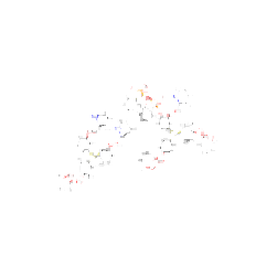 Cc1ccc(S(=O)(=O)[O-])cc1.Cc1ccc(S(=O)(=O)[O-])cc1.c1ccc(COc2cccc([S+](c3ccc(OC4CCCCO4)cc3)c3ccc(OC4CCCCO4)cc3)c2)nc1.c1ccc(COc2cccc([S+](c3ccc(OC4CCCO4)cc3)c3cccc(OCc4ccccn4)c3)c2)nc1